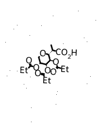 CCC(=O)O[C@H]1[C@H](OC(=O)CC)[C@H](OC(=O)CC)CO[C@@H]1C(C)C(=O)O